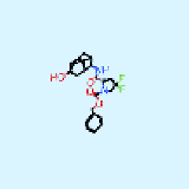 O=C(NC1C2CC3CC1CC(O)(C3)C2)[C@@H]1CC(F)(F)CN1C(=O)OCc1ccccc1